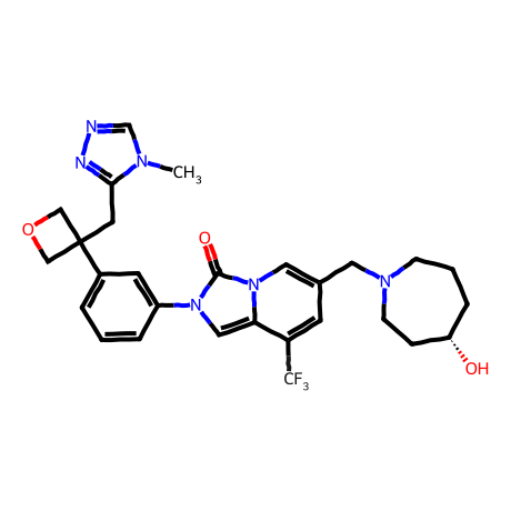 Cn1cnnc1CC1(c2cccc(-n3cc4c(C(F)(F)F)cc(CN5CCC[C@H](O)CC5)cn4c3=O)c2)COC1